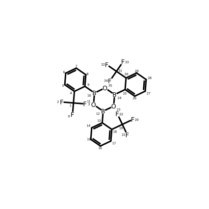 FC(F)(F)c1ccccc1B1OB(c2ccccc2C(F)(F)F)OB(c2ccccc2C(F)(F)F)O1